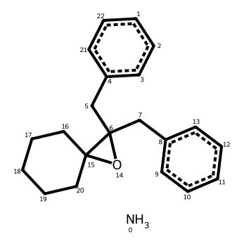 N.c1ccc(CC2(Cc3ccccc3)OC23CCCCC3)cc1